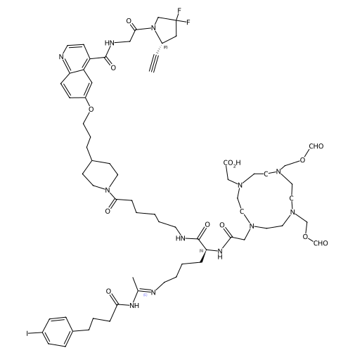 C#C[C@H]1CC(F)(F)CN1C(=O)CNC(=O)c1ccnc2ccc(OCCCC3CCN(C(=O)CCCCCNC(=O)[C@H](CCCC/N=C(\C)NC(=O)CCCc4ccc(I)cc4)NC(=O)CN4CCN(COC=O)CCN(COC=O)CCN(CC(=O)O)CC4)CC3)cc12